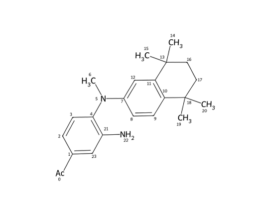 CC(=O)c1ccc(N(C)c2ccc3c(c2)C(C)(C)CCC3(C)C)c(N)c1